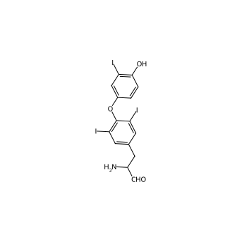 NC(C=O)Cc1cc(I)c(Oc2ccc(O)c(I)c2)c(I)c1